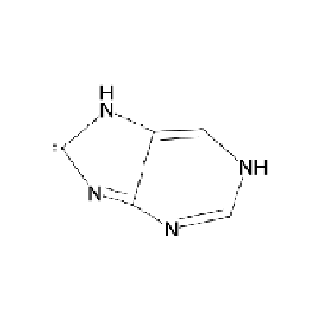 [C]1N=C2N=CNC=C2N1